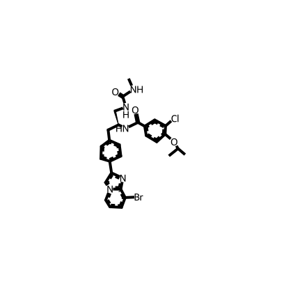 CNC(=O)NC[C@H](Cc1ccc(-c2cn3cccc(Br)c3n2)cc1)NC(=O)c1ccc(OC(C)C)c(Cl)c1